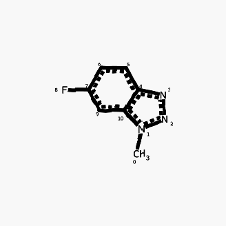 Cn1nnc2ccc(F)cc21